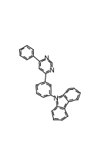 c1ccc(-c2cc(-c3cccc(-n4c5ccccc5c5ccccc54)c3)ncn2)cc1